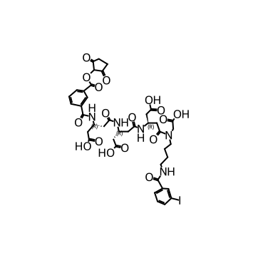 O=C(O)C[C@@H](CC(=O)N[C@@H](CC(=O)O)CC(=O)N(CCCCNC(=O)c1cccc(I)c1)CC(=O)O)NC(=O)C[C@H](CC(=O)O)NC(=O)c1cccc(C(=O)OC2C(=O)CCC2=O)c1